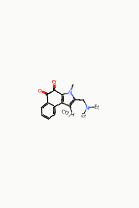 CCN(CC)Cc1c(C(=O)O)c2c(n1C)C(=O)C(=O)c1ccccc1-2